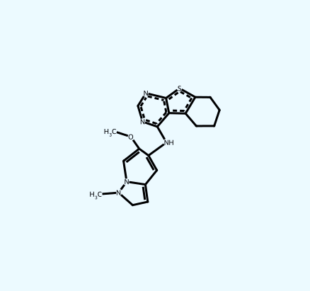 COC1=CN2C(=CCN2C)C=C1Nc1ncnc2sc3c(c12)CCCC3